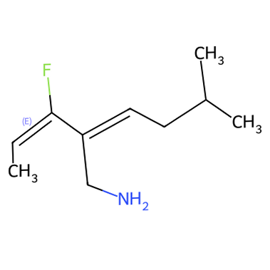 C/C=C(/F)C(=CCC(C)C)CN